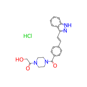 Cl.O=C(CO)N1CCN(C(=O)c2ccc(/C=C/c3n[nH]c4ccccc34)cc2)CC1